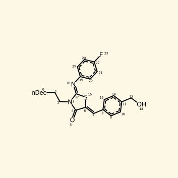 CCCCCCCCCCCCN1C(=O)C(=Cc2ccc(CO)cc2)SC1=Nc1ccc(F)cc1